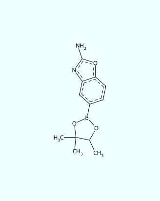 CC1OB(c2ccc3oc(N)nc3c2)OC1(C)C